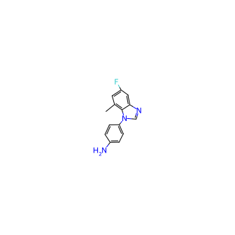 Cc1cc(F)cc2ncn(-c3ccc(N)cc3)c12